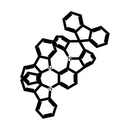 c1ccc2c(c1)-c1ccccc1C21c2ccccc2-n2c3c1cccc3c1ccc(-n3c4ccccc4c4ccccc43)c(-n3c4ccccc4c4ccccc43)c12